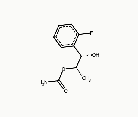 C[C@H](OC(N)=O)[C@@H](O)c1ccccc1F